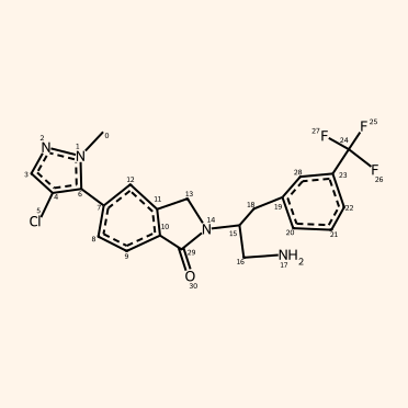 Cn1ncc(Cl)c1-c1ccc2c(c1)CN(C(CN)Cc1cccc(C(F)(F)F)c1)C2=O